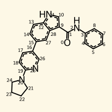 O=C(Nc1ccccc1)c1c[nH]c2ccc(-c3ccc(N4CCCC4)nc3)cc12